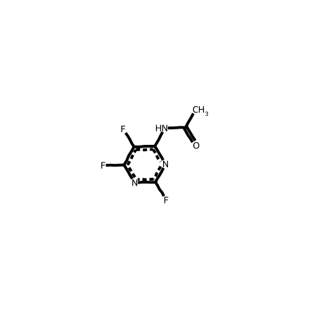 CC(=O)Nc1nc(F)nc(F)c1F